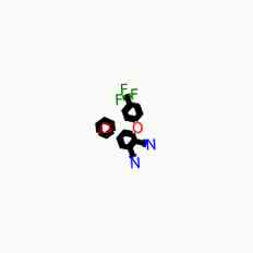 N#Cc1cccc(Oc2ccc(C(F)(F)F)cc2)c1C#N.c1cc2cc(c1)O2